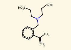 C=C(C)c1ccccc1CN(CCCCCCCCCCCC)CCS(=O)(=O)O